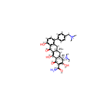 CN(C)Cc1ccc(-c2ccc(O)c3c2C[C@H]2C[C@@H]4C(C(=O)C(C(N)=O)=C(O)[C@H]4N(C)C)C(O)=C2C3=O)cc1